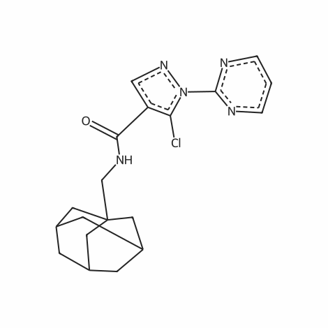 O=C(NCC12CC3CC(CC(C3)C1)C2)c1cnn(-c2ncccn2)c1Cl